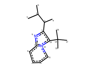 CC(C)C(C)c1nc2ccccn2c1C(C)(C)C